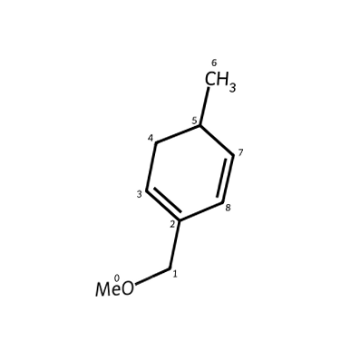 COCC1=CCC(C)C=C1